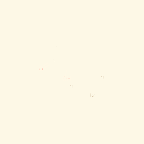 O=C1CCC1(O)CC(Br)(Br)Br